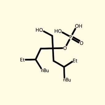 CCCCC(CC)CC(CO)(CC(CC)CCCC)OP(=O)(O)O